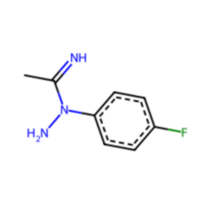 CC(=N)N(N)c1ccc(F)cc1